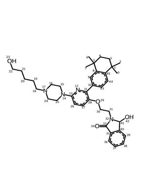 CC1(C)CCC(C)(C)c2cc(-c3nc(N4CCN(CCCCCO)CC4)ccc3OCCN3C(=O)c4ccccc4C3O)ccc21